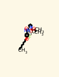 CCCCCCCCOc1ccc(-c2noc([C@@H]3CCCN3C(=O)OC(C)(C)C)n2)cc1F